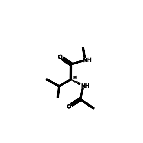 CNC(=O)[C@H](NC(C)=O)C(C)C